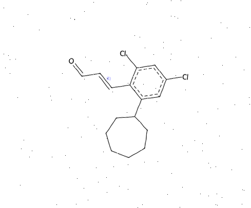 O=C/C=C/c1c(Cl)cc(Cl)cc1C1CCCCCC1